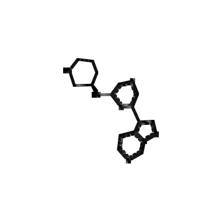 c1cc2c(-c3cncc(N[C@@H]4CCCNC4)n3)cnn2cn1